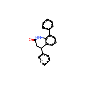 O=C1CC(c2ccccc2)c2cccc(-c3ccccc3)c2N1